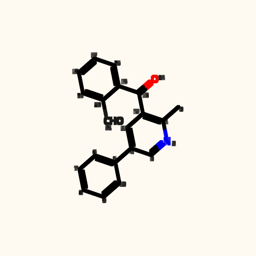 Cc1ncc(-c2ccccc2)cc1C(=O)c1ccccc1C=O